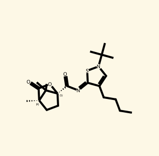 CCCCc1cn(C(C)(C)C)sc1=NC(=O)[C@@]12CC[C@@](C)(C(=O)O1)C2(C)C